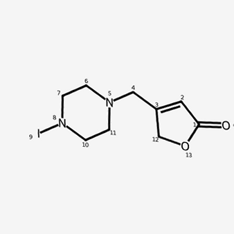 O=C1C=C(CN2CCN(I)CC2)CO1